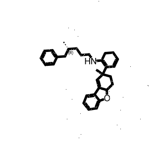 C[C@H](CCCNC1=C(C2(C)C=C3c4ccccc4OC3CC2)C=CCC1)Cc1ccccc1